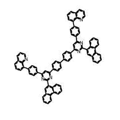 c1cnc2c(-c3ccc(-c4cc(-c5ccc(-c6ccc(-c7cc(-c8ccc(-c9cccc%10cccnc9%10)cc8)nc(-c8cc9ccccc9c9ccccc89)n7)cc6)cc5)nc(-c5cc6ccccc6c6ccccc56)n4)cc3)cccc2c1